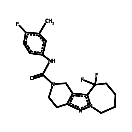 Cc1cc(NC(=O)N2CCc3nn4c(c3C2)C(F)(F)CCCC4)ccc1F